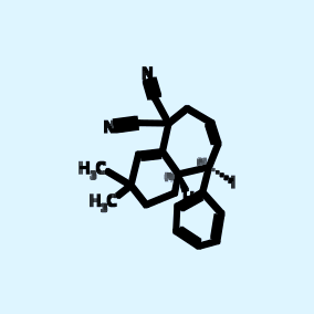 CC1(C)C=C2[C@@H](CC1)[C@](I)(c1ccccc1)C=CCC2(C#N)C#N